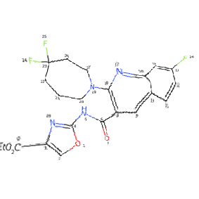 CCOC(=O)c1coc(NC(=O)c2cc3ccc(F)cc3nc2N2CCCC(F)(F)CC2)n1